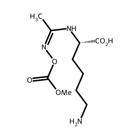 COC(=O)O/N=C(/C)N[C@@H](CCCCN)C(=O)O